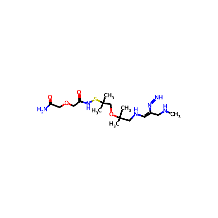 CNC/C(=C/NCC(C)(C)OCC(C)(C)SNC(=O)COCC(N)=O)N=N